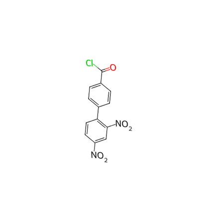 O=C(Cl)c1ccc(-c2ccc([N+](=O)[O-])cc2[N+](=O)[O-])cc1